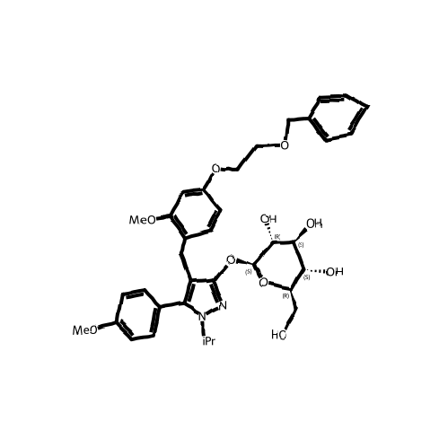 COc1ccc(-c2c(Cc3ccc(OCCOCc4ccccc4)cc3OC)c(O[C@@H]3O[C@H](CO)[C@@H](O)[C@H](O)[C@H]3O)nn2C(C)C)cc1